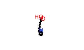 Cn1c(CCCCCCCC(=O)O)cc2ccccc21